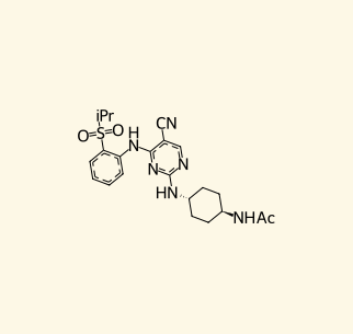 CC(=O)N[C@H]1CC[C@H](Nc2ncc(C#N)c(Nc3ccccc3S(=O)(=O)C(C)C)n2)CC1